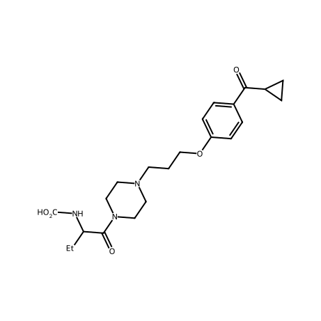 CCC(NC(=O)O)C(=O)N1CCN(CCCOc2ccc(C(=O)C3CC3)cc2)CC1